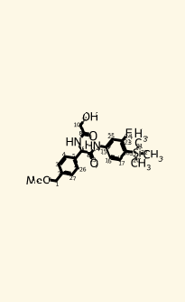 COCc1ccc([C@@H](NC(=O)CO)C(=O)Nc2ccc([Si](C)(C)C)c(F)c2)cc1